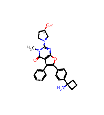 Cn1c(N2CC[C@@H](O)C2)nc2oc(-c3ccc(C4(N)CCC4)cc3)c(-c3ccccc3)c2c1=O